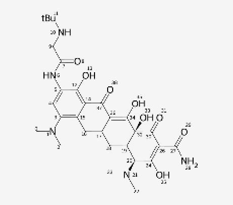 CN(C)c1cc(NC(=O)CNC(C)(C)C)c(O)c2c1CC1CC3[C@H](N(C)C)C(O)=C(C(N)=O)C(=O)[C@@]3(O)C(O)=C1C2=O